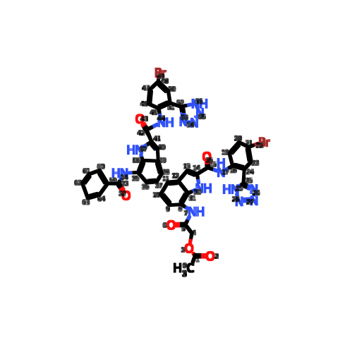 CC(=O)OCC(=O)Nc1cccc2cc(C(=O)Nc3ccc(Br)cc3-c3nnn[nH]3)[nH]c12.O=C(Nc1cccc2cc(C(=O)Nc3ccc(Br)cc3-c3nnn[nH]3)[nH]c12)c1ccccc1